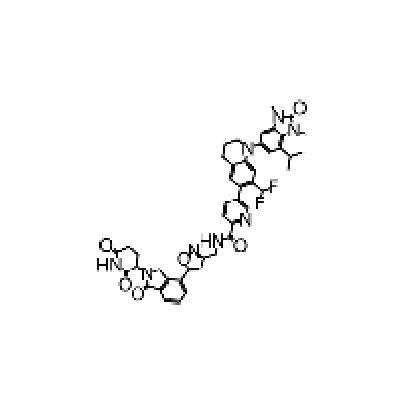 CC(C)c1cc(N2CCCc3cc(-c4ccc(C(=O)NCc5cc(-c6cccc7c6CN(C6CCC(=O)NC6=O)C7=O)on5)nc4)c(C(F)F)cc32)cc2c1n(C)c(=O)n2C